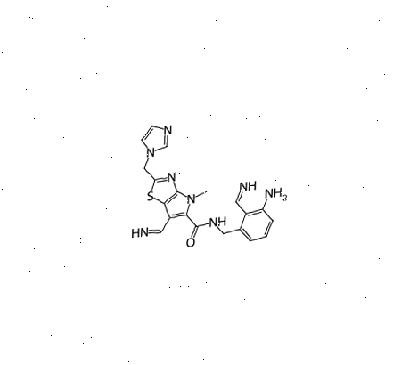 Cn1c(C(=O)NCc2cccc(N)c2C=N)c(C=N)c2sc(Cn3ccnc3)nc21